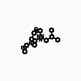 c1ccc(-c2cc(-c3ccccc3)cc(-c3cccc(-c4nc(-c5ccccc5)nc(-c5cccc6oc7ccc(-c8ccc9c(c8)c8ccccc8n9-c8ccc9oc%10ccccc%10c9c8)cc7c56)n4)c3)c2)cc1